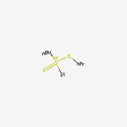 CCCC[SH](=S)(CC)SCCC